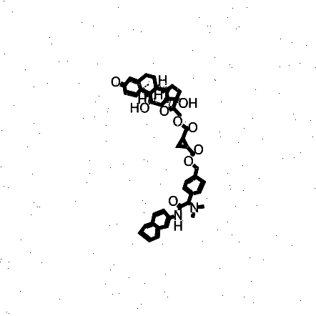 CN(C)C(C(=O)Nc1ccc2ccccc2c1)c1ccc(COC(=O)C2CC2C(=O)OCC(=O)[C@@]2(O)CC[C@H]3[C@@H]4CCC5=CC(=O)C=C[C@]5(C)[C@H]4[C@@H](O)C[C@@]32C)cc1